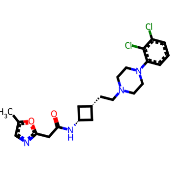 Cc1cnc(CC(=O)N[C@H]2C[C@@H](CCN3CCN(c4cccc(Cl)c4Cl)CC3)C2)o1